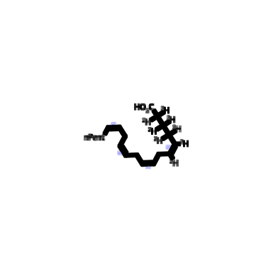 [2H]/C(C/C=C\C/C=C\C/C=C\CCCCC)=C(\[2H])C([2H])([2H])C([2H])([2H])C([2H])([2H])C(=O)O